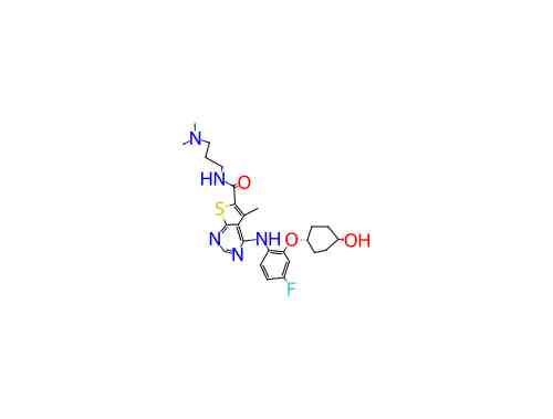 Cc1c(C(=O)NCCCN(C)C)sc2ncnc(Nc3ccc(F)cc3O[C@H]3CC[C@H](O)CC3)c12